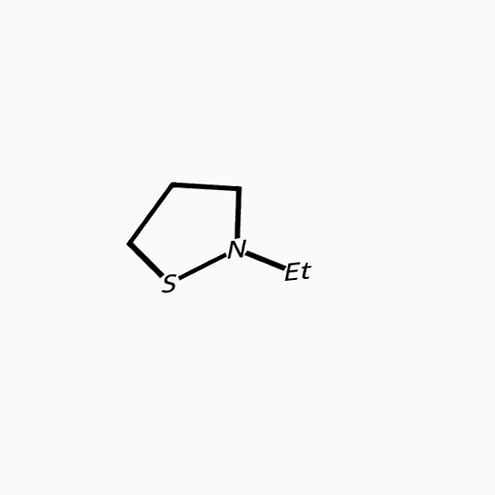 [CH2]CN1CCCS1